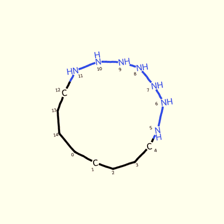 C1CCCCNNNNNNNCCC1